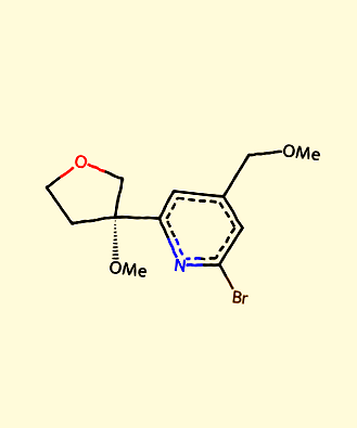 COCc1cc(Br)nc([C@@]2(OC)CCOC2)c1